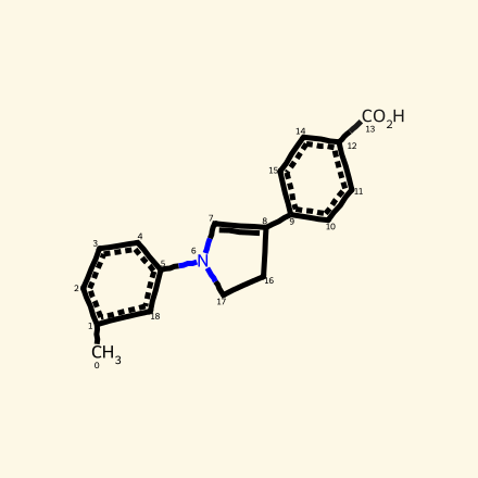 Cc1cccc(N2C=C(c3ccc(C(=O)O)cc3)CC2)c1